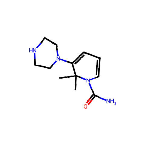 CC1(C)C(N2CCNCC2)=CC=CN1C(N)=O